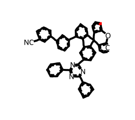 N#Cc1cccc(-c2cccc(-c3cccc4c3-c3cc(-c5nc(-c6ccccc6)nc(-c6ccccc6)n5)ccc3C43c4ccccc4Oc4ccccc43)c2)c1